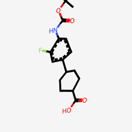 CC(C)(C)OC(=O)Nc1ccc(C2CCC(C(=O)O)CC2)cc1F